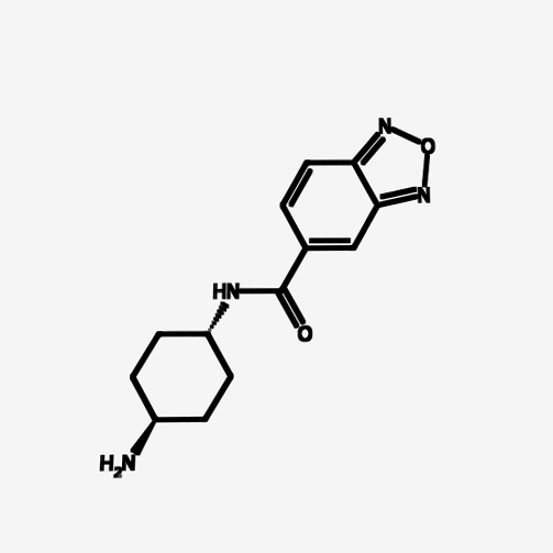 N[C@H]1CC[C@H](NC(=O)c2ccc3nonc3c2)CC1